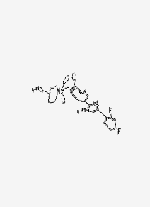 O=S(=O)(c1cc(-c2nc(-c3ccc(F)cc3F)c[nH]2)ccc1Cl)N1CCC(O)CC1